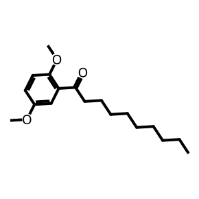 CCCCCCCCCC(=O)c1cc(OC)ccc1OC